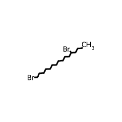 CCCCC(Br)CCCCCCCCCCCBr